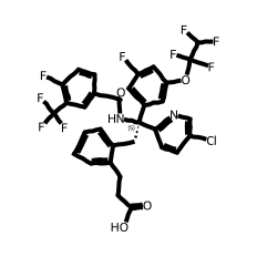 O=C(O)CCc1ccccc1C[C@](NC(=O)c1ccc(F)c(C(F)(F)F)c1)(c1cc(F)cc(OC(F)(F)C(F)F)c1)c1ccc(Cl)cn1